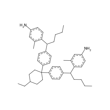 CCCCC(c1ccc(C2(c3ccc(C(CCCC)c4ccc(N)cc4C)cc3)CCC(CC)CC2)cc1)c1ccc(N)cc1C